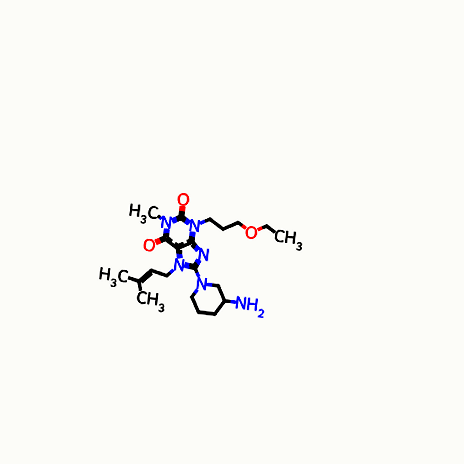 CCOCCCn1c(=O)n(C)c(=O)c2c1nc(N1CCCC(N)C1)n2CC=C(C)C